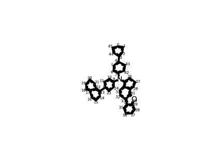 c1ccc(-c2ccc(N(c3ccc(-c4cccc5ccccc45)cc3)c3cccc4c3ccc3c5ccccc5oc43)cc2)cc1